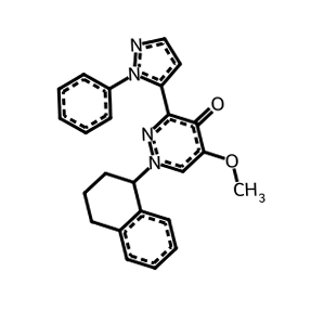 COc1cn(C2CCCc3ccccc32)nc(-c2ccnn2-c2ccccc2)c1=O